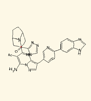 CC(=O)c1c(C2CC3CCC(C2)N3C(=O)c2nnc[nH]2)nc2c(-c3ccc(-c4ccc5nc[nH]c5c4)nc3)cnn2c1N